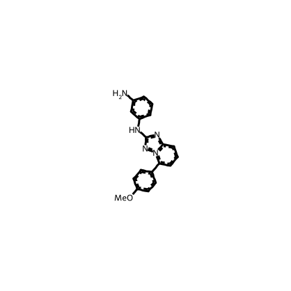 COc1ccc(-c2cccc3nc(Nc4cccc(N)c4)nn23)cc1